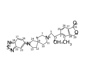 Cc1c(C(O)CN2CCC3(CC2)CCN(c2ccc4nsnc4c2)C3)ccc2c1COC2=O